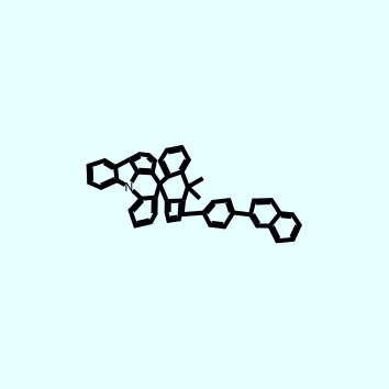 CC1(C)c2ccccc2C2(c3ccccc3-n3c4ccccc4c4cccc2c43)c2cccc(-c3ccc(-c4ccc5ccccc5c4)cc3)c21